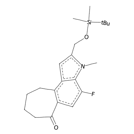 Cn1c(CO[Si](C)(C)C(C)(C)C)cc2c3c(cc(F)c21)C(=O)CCCC3